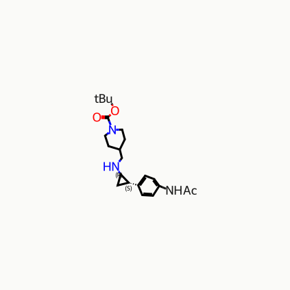 CC(=O)Nc1ccc([C@@H]2C[C@H]2NCC2CCN(C(=O)OC(C)(C)C)CC2)cc1